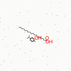 CCCCCCCCCCCCCCCCCC(=O)O.Cc1ccc(C(C)C)cc1O